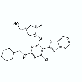 C[C@@H]1C[C@@H](CO)C[C@H]1Nc1nc(NCC2CCCCC2)nc(Cl)c1-c1nc2ccccc2s1